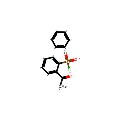 COC(=O)c1ccccc1S(=O)(=O)Cl.c1ccccc1